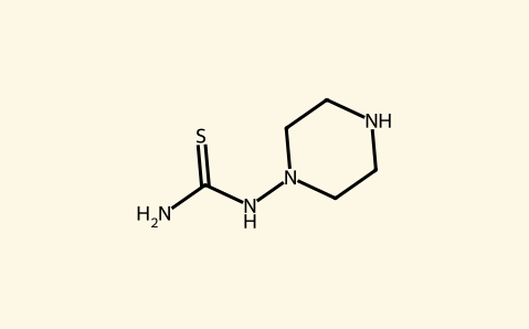 NC(=S)NN1CCNCC1